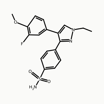 CCn1cc(-c2ccc(OC)c(F)c2)c(-c2ccc(S(N)(=O)=O)cc2)n1